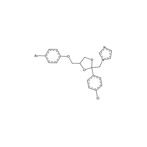 CC(=O)c1ccc(OCC2COC(Cn3ccnc3)(c3ccc(Cl)cc3)O2)cc1